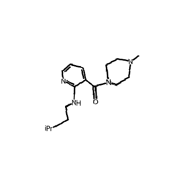 CC(C)CCNc1ncccc1C(=O)N1CCN(C)CC1